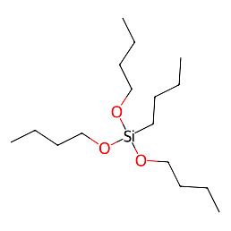 CCCCO[Si](CCCC)(OCCCC)OCCCC